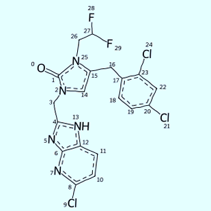 O=c1n(Cc2nc3nc(Cl)ccc3[nH]2)cc(Cc2ccc(Cl)cc2Cl)n1CC(F)F